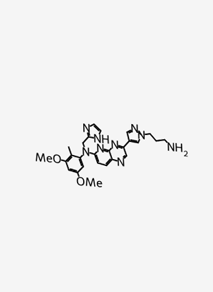 COc1cc(OC)c(C)c(N(Cc2ncc[nH]2)c2ccc3ncc(-c4cnn(CCCN)c4)nc3n2)c1